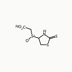 O=C(O)C[S+]([O-])C1CSC(=S)N1